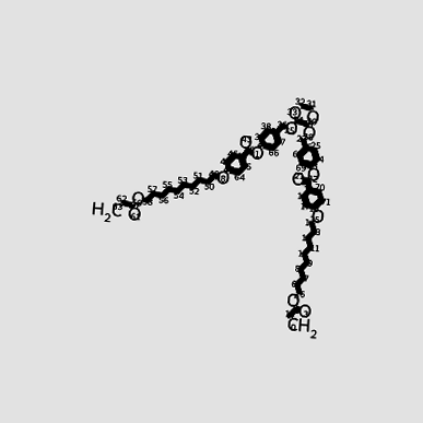 C=CC(=O)OCCCCCCCCCCOc1ccc(C(=O)Oc2ccc(CO[C@H]3OCCO[C@@H]3OCc3ccc(OC(=O)c4ccc(OCCCCCCCCCCOC(=O)C=C)cc4)cc3)cc2)cc1